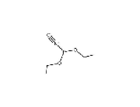 [C-]#[N+]P(OCC)OCC